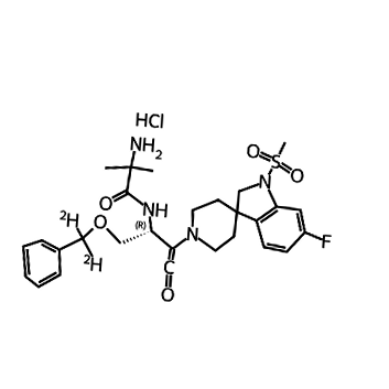 Cl.[2H]C([2H])(OC[C@H](NC(=O)C(C)(C)N)C(=C=O)N1CCC2(CC1)CN(S(C)(=O)=O)c1cc(F)ccc12)c1ccccc1